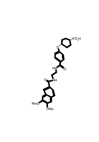 COc1cc2ccc(C(=O)NCCNC(=O)c3ccc(O[C@H]4CC[C@@H](C(=O)O)CC4)cc3)cc2cc1OC